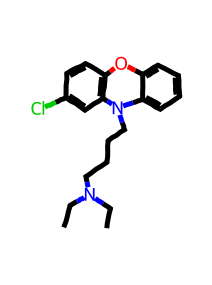 CCN(CC)CCCCN1c2ccccc2Oc2ccc(Cl)cc21